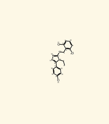 CCn1c(SCc2c(Cl)cccc2Cl)nnc1-c1ccc(Cl)cc1